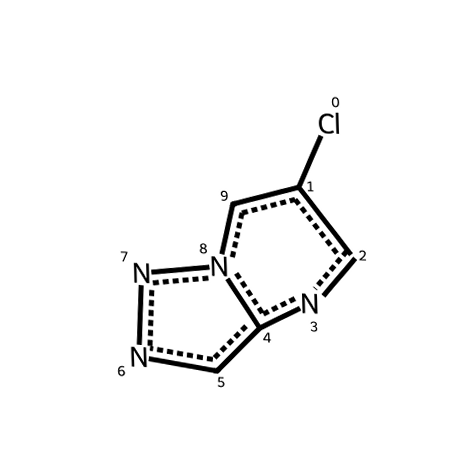 Clc1cnc2cnnn2c1